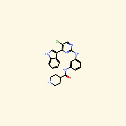 O=C(Nc1cccc(Nc2ncc(Cl)c(-c3c[nH]c4ccccc34)n2)c1)C1CCNCC1